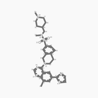 Cc1cc(-c2nccs2)cc2c(N3CCc4ccc(S(=O)(=O)N(C)CC5CCN(C)CC5)cc4C3)ncnc12